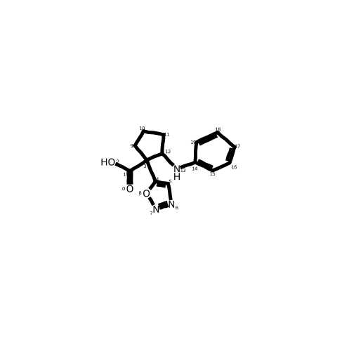 O=C(O)C1(c2cnno2)CCCC1Nc1ccccc1